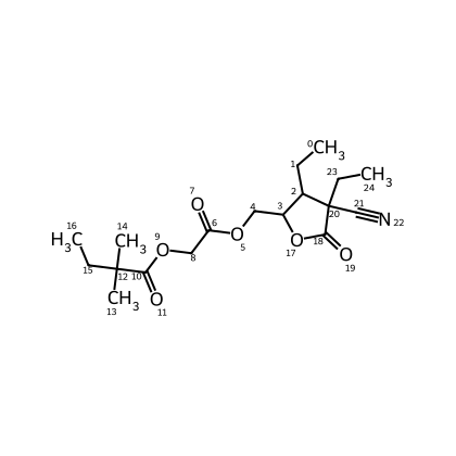 CCC1C(COC(=O)COC(=O)C(C)(C)CC)OC(=O)C1(C#N)CC